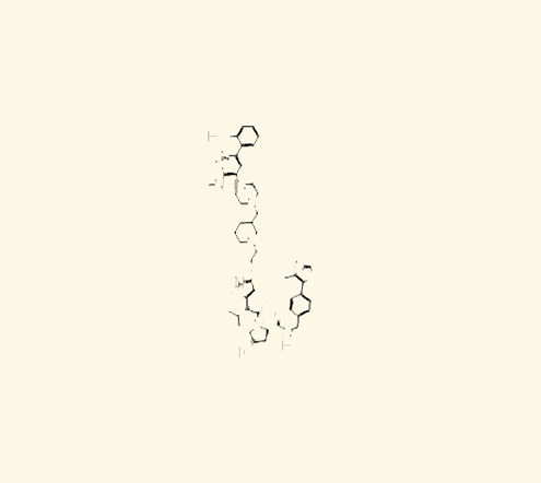 CNc1nnc(-c2ccccc2O)cc1N1CCN(CC2CCCN(CCOc3cc([C@H](C(=O)N4C[C@H](O)C[C@H]4C(=O)N[C@@H](C)c4ccc(-c5scnc5C)cc4)C(C)C)on3)C2)C[C@@H]1C